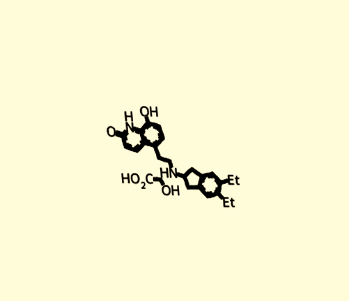 CCc1cc2c(cc1CC)CC(NCCc1ccc(O)c3[nH]c(=O)ccc13)C2.O=C(O)CO